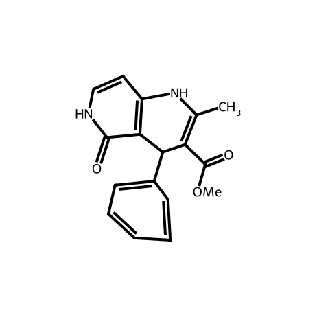 COC(=O)C1=C(C)Nc2cc[nH]c(=O)c2C1c1ccccc1